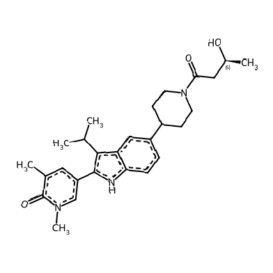 Cc1cc(-c2[nH]c3ccc(C4CCN(C(=O)C[C@H](C)O)CC4)cc3c2C(C)C)cn(C)c1=O